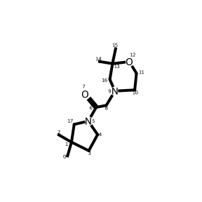 CC1(C)CCN(C(=O)CN2CCOC(C)(C)C2)C1